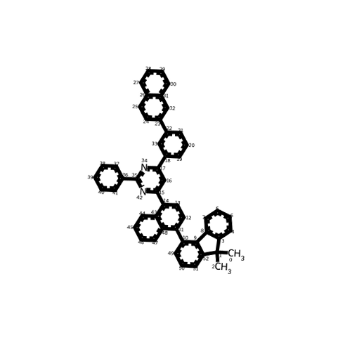 CC1(C)c2ccccc2-c2c(-c3ccc(-c4cc(-c5cccc(-c6ccc7ccccc7c6)c5)nc(-c5ccccc5)n4)c4ccccc34)cccc21